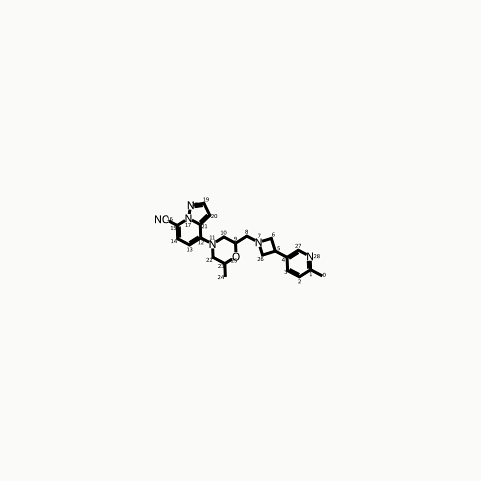 Cc1ccc(C2CN(CC3CN(c4ccc(C#N)n5nccc45)CC(C)O3)C2)cn1